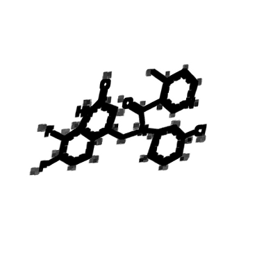 Cc1ccncc1C(=O)N(Cc1cc(=O)[nH]c2c(F)c(F)ccc12)c1cccc(Cl)c1